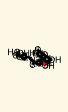 O=C(NCCc1ccc(OP(=O)(O)O)cc1)c1ccc(C(=O)O)c(-c2c3cc(F)c(=O)cc-3oc3cc(O)c(F)cc23)c1